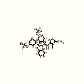 Cc1nnc(NC(=O)NC(Cc2ccccc2)(c2cccc(OC(F)(F)F)c2)c2cccc(OC(F)(F)F)c2)[nH]1